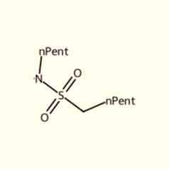 CCCCCCS(=O)(=O)[N]CCCCC